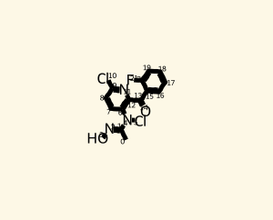 CC(=NO)N(Cl)c1ccc(Cl)nc1C(=O)c1ccccc1F